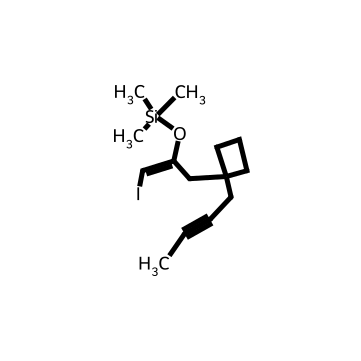 CC#CCC1(C/C(=C\I)O[Si](C)(C)C)CCC1